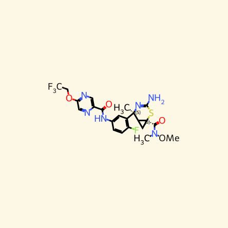 CON(C)C(=O)[C@]12CC1[C@@](C)(c1cc(NC(=O)c3cnc(OCC(F)(F)F)cn3)ccc1F)N=C(N)S2